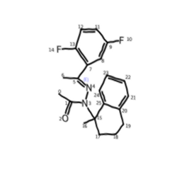 CC(=O)N(/N=C(\C)c1cc(F)ccc1F)C1(C)CCCc2ccccc21